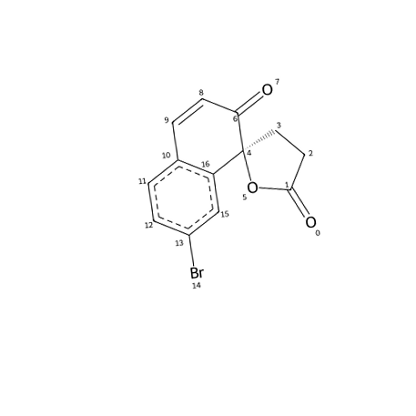 O=C1CC[C@@]2(O1)C(=O)C=Cc1ccc(Br)cc12